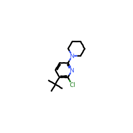 CC(C)(C)c1ccc(N2CCCCC2)nc1Cl